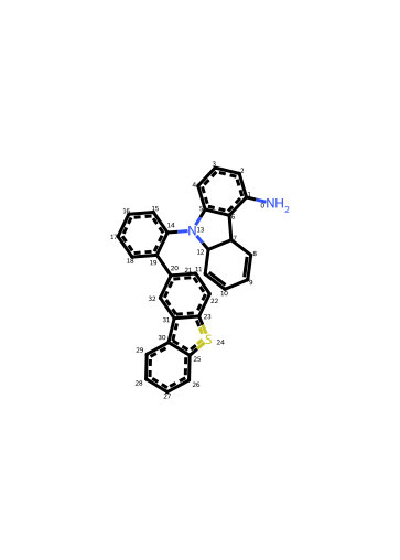 Nc1cccc2c1C1C=CC=CC1N2c1ccccc1-c1ccc2sc3ccccc3c2c1